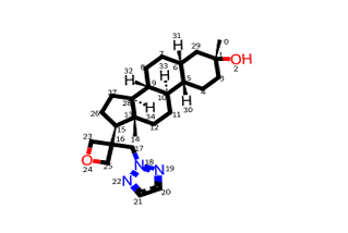 C[C@@]1(O)CC[C@H]2[C@H](CC[C@@H]3[C@@H]2CC[C@]2(C)[C@@H](C4(Cn5nccn5)COC4)CC[C@@H]32)C1